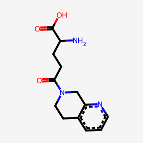 NC(CCC(=O)N1CCc2cccnc2C1)C(=O)O